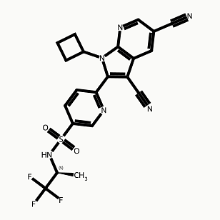 C[C@H](NS(=O)(=O)c1ccc(-c2c(C#N)c3cc(C#N)cnc3n2C2CCC2)nc1)C(F)(F)F